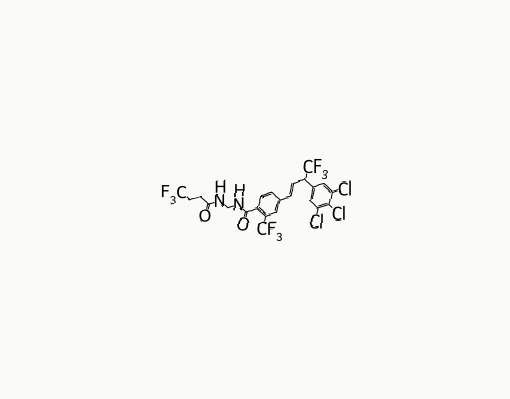 O=C(CCC(F)(F)F)NCNC(=O)c1ccc(/C=C/C(c2cc(Cl)c(Cl)c(Cl)c2)C(F)(F)F)cc1C(F)(F)F